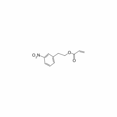 C=CC(=O)OCCc1cccc([N+](=O)[O-])c1